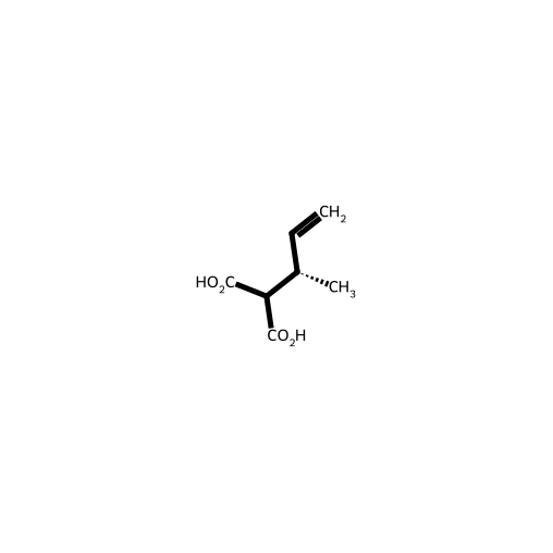 C=C[C@H](C)C(C(=O)O)C(=O)O